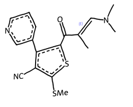 CSc1sc(C(=O)/C(C)=C/N(C)C)c(-c2cccnc2)c1C#N